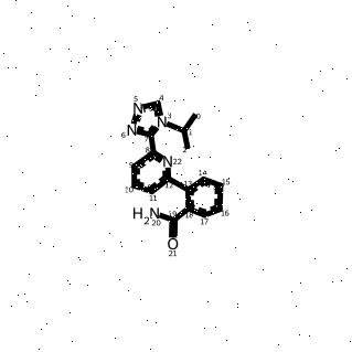 CC(C)n1cnnc1-c1cccc(-c2ccccc2C(N)=O)n1